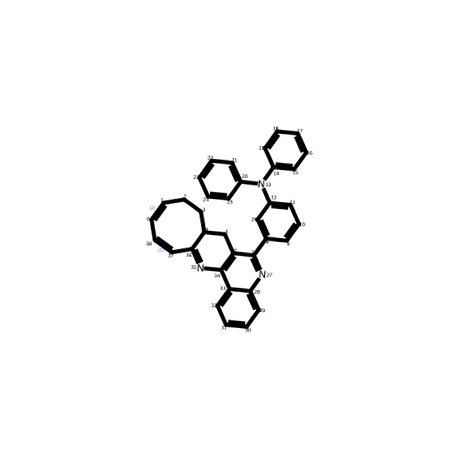 C1=C\CCC2Cc3c(-c4cccc(N(c5ccccc5)c5ccccc5)c4)nc4ccccc4c3N=C2\C=C/1